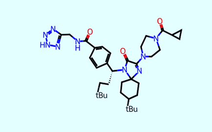 CC(C)(C)CC[C@H](c1ccc(C(=O)NCc2nn[nH]n2)cc1)N1C(=O)C(N2CCN(C(=O)C3CC3)CC2)=NC12CCC(C(C)(C)C)CC2